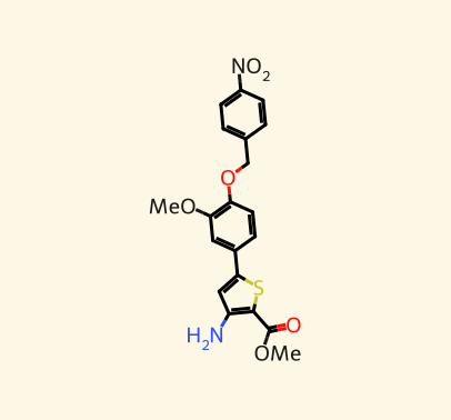 COC(=O)c1sc(-c2ccc(OCc3ccc([N+](=O)[O-])cc3)c(OC)c2)cc1N